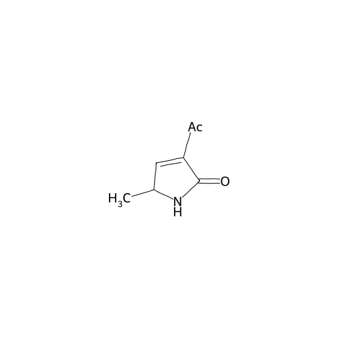 CC(=O)C1=CC(C)NC1=O